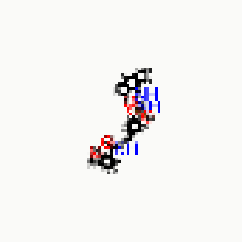 O=C(Nc1c2c(cc3c1CCC3)CCC2)NS(=O)(=O)c1ccc(CCNC(=O)c2cccc3c2OCC3)cc1